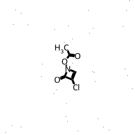 CC(=O)ON1C=C(Cl)C1=O